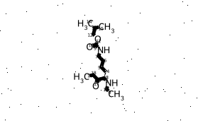 CCN[C@@H](CCCCNC(=O)OCC(C)C)C(=O)CC